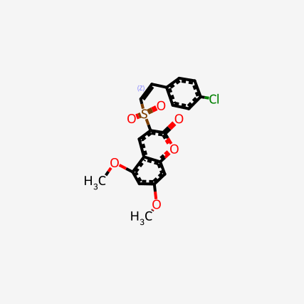 COc1cc(OC)c2cc(S(=O)(=O)/C=C\c3ccc(Cl)cc3)c(=O)oc2c1